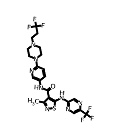 Cc1nsc(Nc2cnc(C(F)(F)F)cn2)c1C(=O)Nc1ccc(N2CCN(CCC(F)(F)F)CC2)nc1